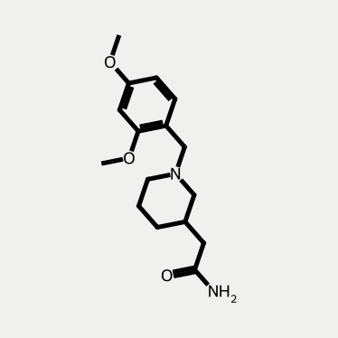 COc1ccc(CN2CCCC(CC(N)=O)C2)c(OC)c1